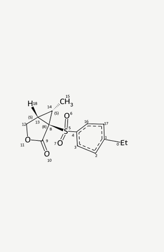 CCc1ccc(S(=O)(=O)[C@@]23C(=O)OC[C@@H]2[C@@H]3C)cc1